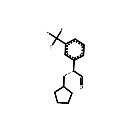 O=C[C@H](CC1CCCC1)c1cccc(C(F)(F)F)c1